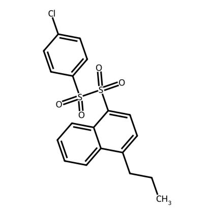 CCCc1ccc(S(=O)(=O)S(=O)(=O)c2ccc(Cl)cc2)c2ccccc12